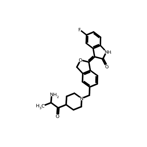 CC(N)C(=O)C1CCN(Cc2ccc3c(c2)CO/C3=C2/C(=O)Nc3ccc(F)cc32)CC1